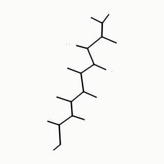 OCC(O)C(O)C(O)C(O)C(O)C(O)C(O)C(O)C(O)O